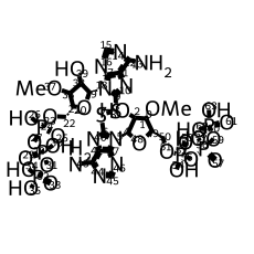 COC1C(O)[C@H](n2c(SSc3nc4c(N)ncnc4n3[C@@H]3O[C@H](COP(=O)(O)OP(=O)(O)OP(=O)(O)O)C(OC)C3O)nc3c(N)ncnc32)O[C@@H]1COP(=O)(O)OP(=O)(O)OP(=O)(O)O